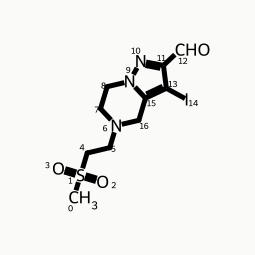 CS(=O)(=O)CCN1CCn2nc(C=O)c(I)c2C1